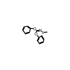 CSN=C(Oc1ccccc1)Oc1ccccc1